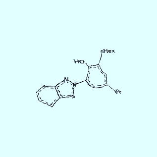 CCCCCCc1cc(C(C)C)cc(-n2nc3ccccc3n2)c1O